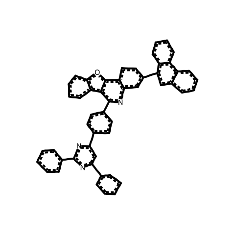 c1ccc(-c2cc(-c3ccc(-c4nc5cc(-c6cc7ccccc7c7ccccc67)ccc5c5oc6ccccc6c45)cc3)nc(-c3ccccc3)n2)cc1